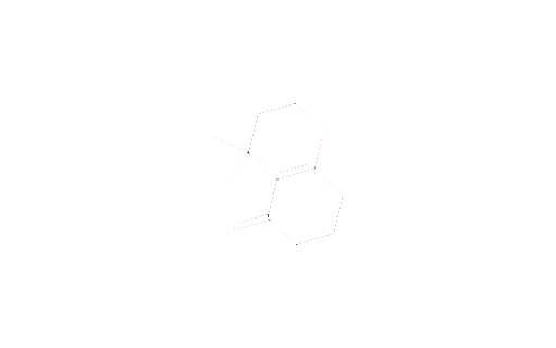 CC1(C)CCOC2=C1C(=O)CCC2